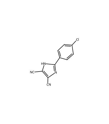 N#Cc1nc(-c2ccc(Cl)cc2)[nH]c1C#N